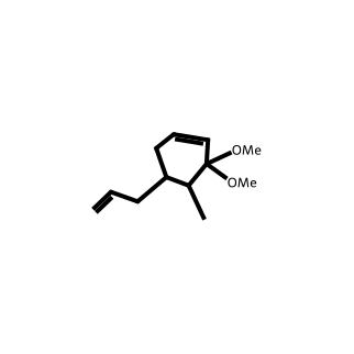 C=CCC1CC=CC(OC)(OC)C1C